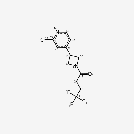 O=C(CCC(F)(F)F)N1CC(c2ccnc(Cl)c2)C1